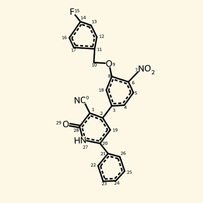 N#Cc1c(-c2ccc([N+](=O)[O-])c(OCc3ccc(F)cc3)c2)cc(-c2ccccc2)[nH]c1=O